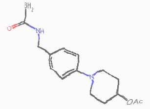 BC(=O)NCc1ccc(N2CCC(OC(C)=O)CC2)cc1